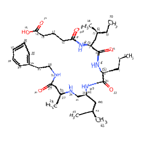 CCC[C@H](NC(=O)[C@@H](NC(=O)CCCC(=O)O)[C@@H](C)CC)C(=O)N[C@H](CN[C@@H](C)C(=O)NCCc1ccccc1)CC(C)C